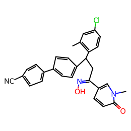 Cc1cc(Cl)ccc1C(CC(=NO)c1ccc(=O)n(C)c1)c1ccc(-c2ccc(C#N)cc2)cc1